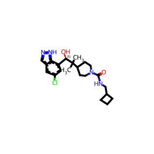 CC(C)(C1CCN(C(=O)NCC2CCC2)CC1)[C@H](O)c1cc(Cl)cc2cn[nH]c12